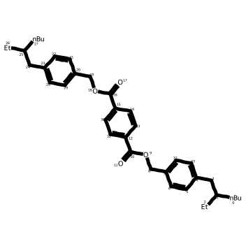 CCCCC(CC)Cc1ccc(COC(=O)c2ccc(C(=O)OCc3ccc(CC(CC)CCCC)cc3)cc2)cc1